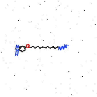 [N-]=[N+]=NCCCCCCCCCCCCOc1ccc2[nH]cnc2c1